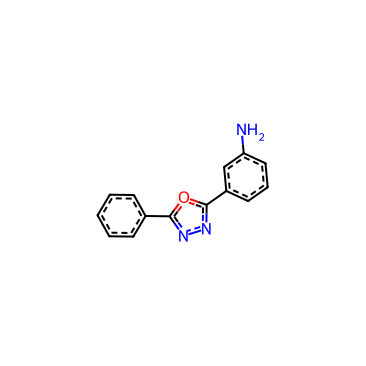 Nc1cccc(-c2nnc(-c3ccccc3)o2)c1